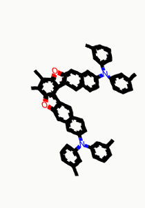 Cc1cccc(N(c2cccc(C)c2)c2ccc3cc4c(cc3c2)oc2c(C)c(C)c3oc5cc6cc(N(c7cccc(C)c7)c7cccc(C)c7)ccc6cc5c3c24)c1